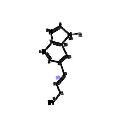 CC(C)C/C=C/c1cnc2ncn(C)c2c1